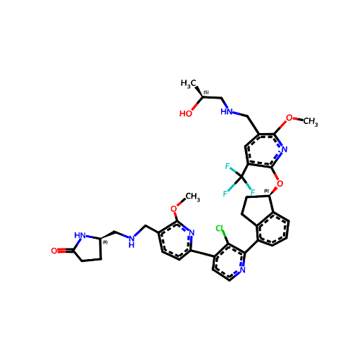 COc1nc(-c2ccnc(-c3cccc4c3CC[C@H]4Oc3nc(OC)c(CNC[C@H](C)O)cc3C(F)(F)F)c2Cl)ccc1CNC[C@H]1CCC(=O)N1